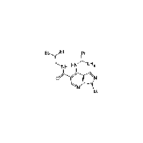 CCC(CC)CNC(=O)c1cnc2c(cnn2CC)c1N[C@@H](C)C(C)C